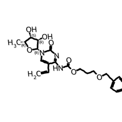 C=Cc1cn([C@@H]2O[C@H](C)[C@@H](O)[C@H]2O)c(=O)nc1NC(=O)OCCCOCc1ccccc1